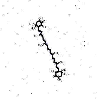 CC1=C(/C=C/C(C)=C/C=C/C(C)=C/C=C/C=C(C)/C=C/C=C(C)/C=C/C2=C(C)C(=O)[C@H](O)CC2(C)C)C(C)(C)C[C@@H](C)C1=O